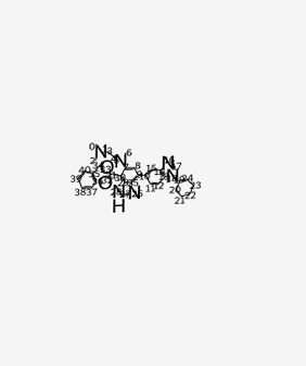 CN(C)CCN(C)c1cc(-c2ccc3c(c2)ncn3C2CCCCC2)c2nc[nH]c2c1C(=O)OCc1ccccc1